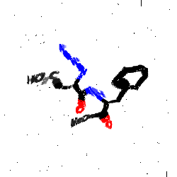 COC(=O)[C@H](Cc1ccccc1)NC(=O)[C@H](CC(=O)O)N=[N+]=[N-]